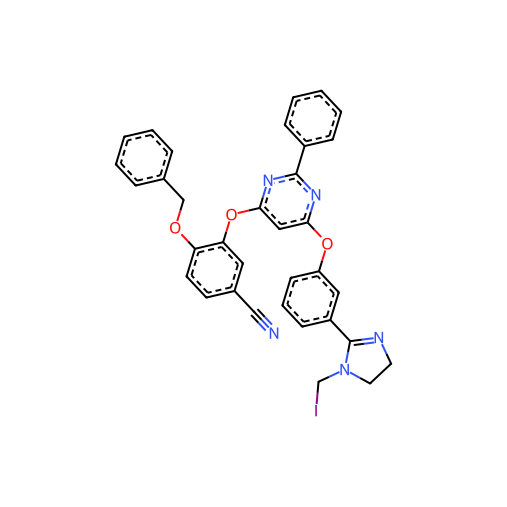 N#Cc1ccc(OCc2ccccc2)c(Oc2cc(Oc3cccc(C4=NCCN4CI)c3)nc(-c3ccccc3)n2)c1